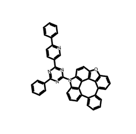 c1ccc(-c2ccc(-c3nc(-c4ccccc4)nc(-n4c5cccc6c7ccccc7c7cccc8oc9ccc4c(c9c87)c65)n3)cn2)cc1